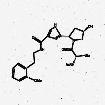 COc1ccccc1CCNC(=O)c1c[nH]c([C@@H]2C[C@@H](O)CN2C(=O)[C@@H](NC(C)=O)C(C)(C)C)n1